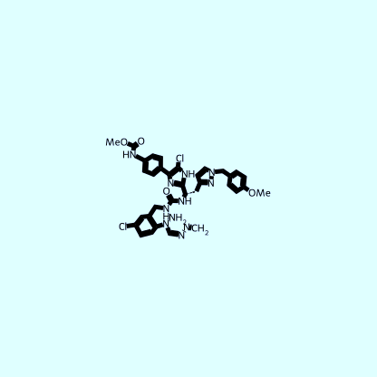 C=N/N=C\N(N)c1ccc(Cl)cc1CNC(=O)N[C@@H](Cc1ccn(Cc2ccc(OC)cc2)n1)c1nc(-c2ccc(NC(=O)OC)cc2)c(Cl)[nH]1